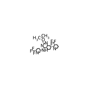 CC(C)OCc1nc(Nc2ccc(C(F)(F)F)nc2)c2ccc(-c3ncccc3C(F)(F)F)cc2n1